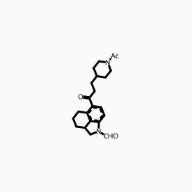 CC(=O)N1CCC(CCC(=O)c2ccc3c4c2CCCC4CN3C=O)CC1